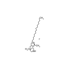 CCCCCCCCCCCCCCCCOCC(C[N+]1(C)CCNCC1)OC(C)=O.[I-]